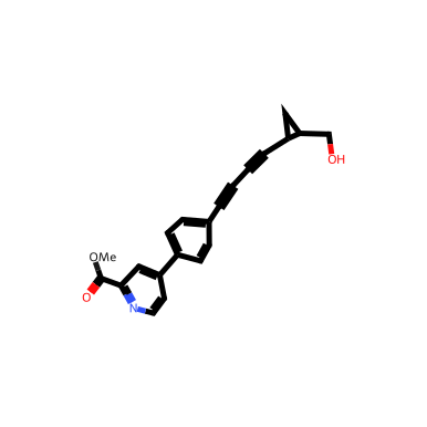 COC(=O)c1cc(-c2ccc(C#CC#CC3CC3CO)cc2)ccn1